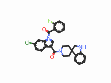 O=C(c1cn(C(=O)c2ccccc2F)c2cc(Cl)ccc12)N1CCC2(CC1)CNc1ccccc12